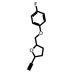 C#CC1CCC(COc2ccc(F)cc2)O1